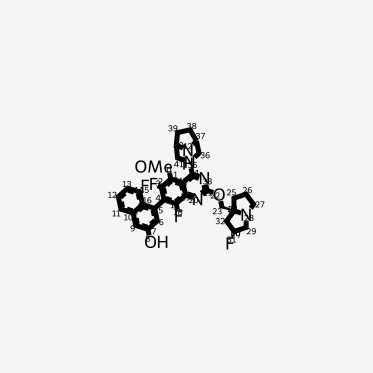 COc1c(F)c(-c2cc(O)cc3cccc(F)c23)c(F)c2nc(OC[C@@]34CCCN3C[C@H](F)C4)nc(N3CC4CCC(C3)N4)c12